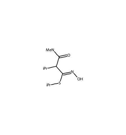 CNC(=O)C(/C(=N/O)SC(C)C)C(C)C